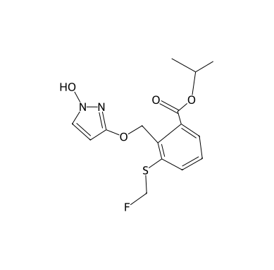 CC(C)OC(=O)c1cccc(SCF)c1COc1ccn(O)n1